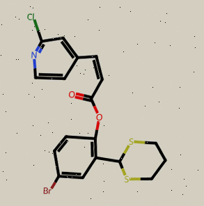 O=C(/C=C\c1ccnc(Cl)c1)Oc1ccc(Br)cc1C1SCCCS1